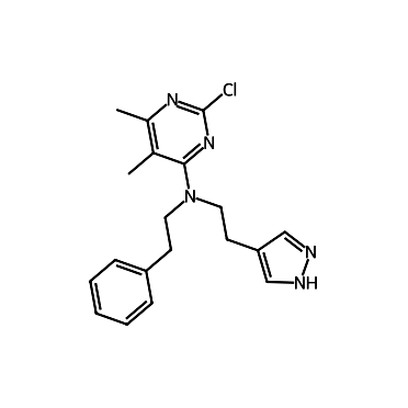 Cc1nc(Cl)nc(N(CCc2ccccc2)CCc2cn[nH]c2)c1C